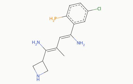 CC(/C=C(\N)c1cc(Cl)ccc1P)=C(/N)C1CNC1